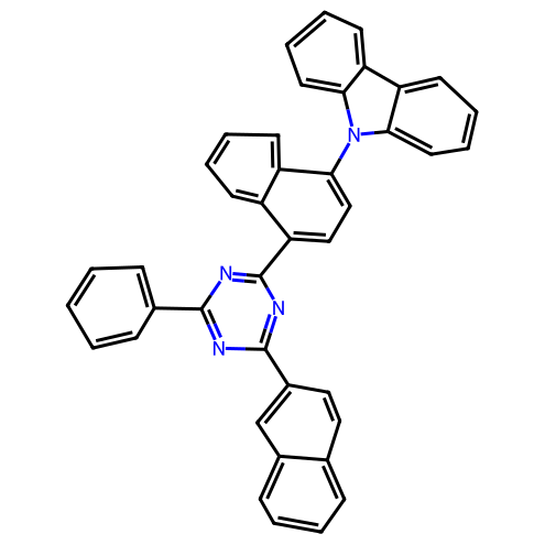 c1ccc(-c2nc(-c3ccc4ccccc4c3)nc(-c3ccc(-n4c5ccccc5c5ccccc54)c4ccccc34)n2)cc1